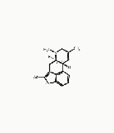 CC(=O)c1[nH]c2cccc3c2c1C[C@@H]1[C@@H]3C=C(C)CN1C